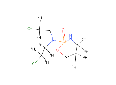 [2H]C([2H])(Cl)CN(C([2H])([2H])C([2H])([2H])Cl)P1(=O)NC([2H])([2H])C([2H])([2H])CO1